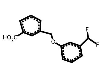 O=C(O)c1cccc(COc2cccc(C(F)F)c2)c1